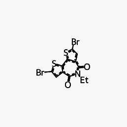 CCn1c(=O)c2cc(Br)sc2c2sc(Br)cc2c1=O